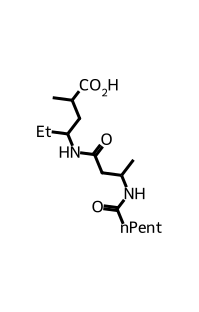 CCCCCC(=O)NC(C)CC(=O)NC(CC)CC(C)C(=O)O